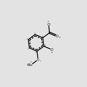 CC(C)(C)Oc1cccc(C(=O)Cl)c1Cl